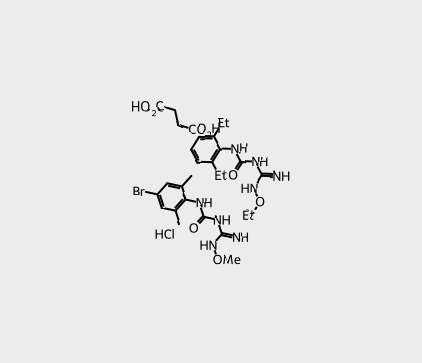 CCONC(=N)NC(=O)Nc1c(CC)cccc1CC.CONC(=N)NC(=O)Nc1c(C)cc(Br)cc1C.Cl.O=C(O)CCC(=O)O